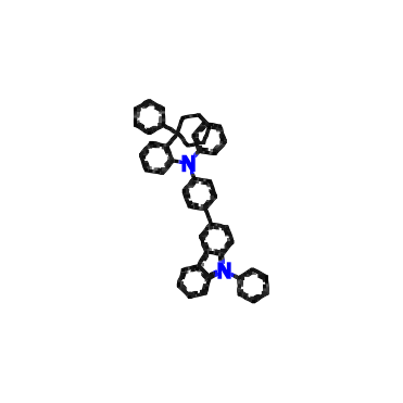 c1ccc(N(c2ccc(-c3ccc4c(c3)c3ccccc3n4-c3ccccc3)cc2)c2ccccc2C2(c3ccccc3)CCCCC2)cc1